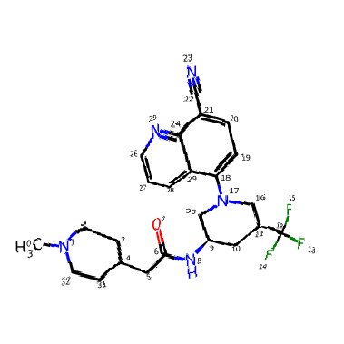 CN1CCC(CC(=O)N[C@@H]2C[C@H](C(F)(F)F)CN(c3ccc(C#N)c4ncccc34)C2)CC1